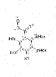 CCCCCCc1c(Cl)c(O)c(O)c(C(=O)OCl)c1CCCCCC